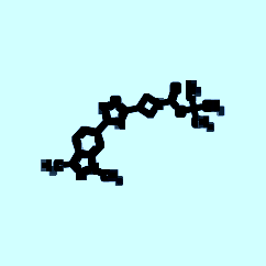 Cc1nn(C)c2cc(-c3noc(C4CN(C(=O)OC(C)(C)C)C4)n3)ccc12